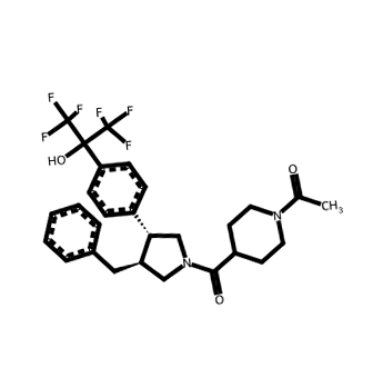 CC(=O)N1CCC(C(=O)N2C[C@@H](Cc3ccccc3)[C@H](c3ccc(C(O)(C(F)(F)F)C(F)(F)F)cc3)C2)CC1